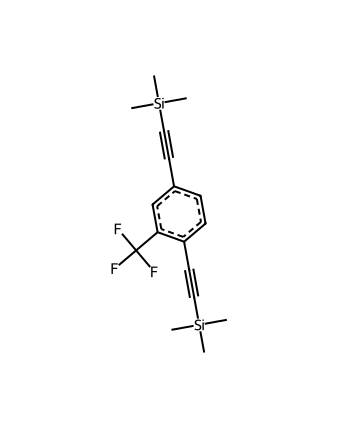 C[Si](C)(C)C#Cc1ccc(C#C[Si](C)(C)C)c(C(F)(F)F)c1